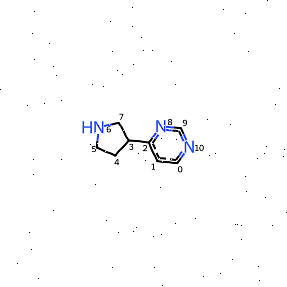 c1cc(C2CCNC2)ncn1